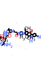 CCc1cc2c(cc1N1CCN(C(=O)CCCN3C[C@H](NC(=O)[C@H](CCCc4ncncc4N)NC(=O)OC(C)(C)C)C4(CC4)C3)CC1)C(C)(C)c1[nH]c3cc(C#N)ccc3c1C2=O